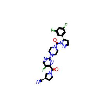 N#C[C@@H]1CCN(C(=O)c2nc(N3CCN(C(=O)N4N=CC[C@H]4c4cc(F)cc(F)c4)CC3)ncc2F)C1